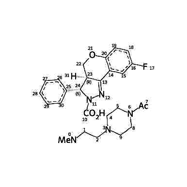 CNCCN1CCN(C(C)=O)CC1.O=C(O)N1N=C2c3cc(F)ccc3OC[C@@H]2[C@H]1c1ccccc1